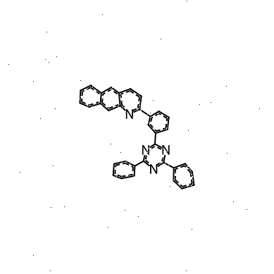 c1ccc(-c2nc(-c3ccccc3)nc(-c3cccc(-c4ccc5cc6ccccc6cc5n4)c3)n2)cc1